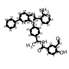 C[C@H](NC(=O)c1ccc(O)c(C=O)c1)c1ccc(-n2c(-c3cccnc3N)nc3ccc(-c4ccccc4)nc32)cc1